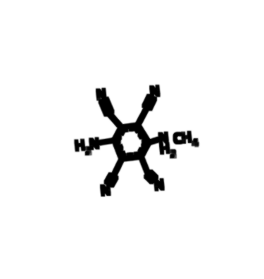 C.N#Cc1c(N)c(C#N)c(C#N)c(N)c1C#N